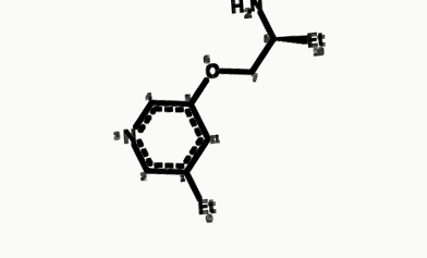 CCc1cncc(OC[C@@H](N)CC)c1